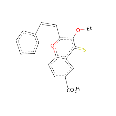 CCOc1c(/C=C\c2ccccc2)oc2ccc(C(=O)O)cc2c1=S